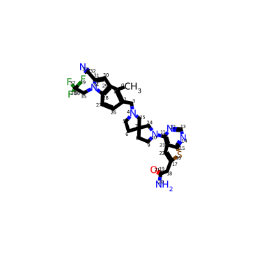 Cc1c(CN2CCC3(CCN(c4ncnc5sc(CC(N)=O)cc45)C3)C2)ccc2c1cc(C#N)n2CC(F)(F)F